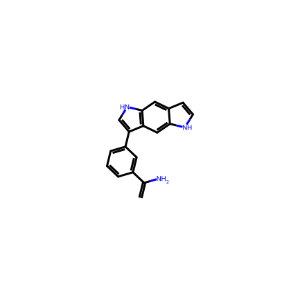 C=C(N)c1cccc(-c2c[nH]c3cc4cc[nH]c4cc23)c1